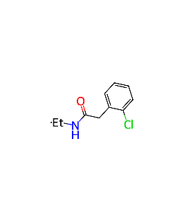 C[CH]NC(=O)Cc1ccccc1Cl